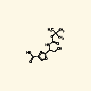 CC(C)(C)OC(=O)NC(CO)c1nc(C(=O)O)co1